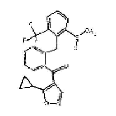 C[S+]([O-])c1cccc(C(F)(F)F)c1Cc1ccccc1C(=O)c1cnoc1C1CC1